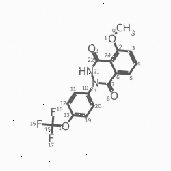 COc1cccc2c(=O)n(-c3ccc(OC(F)(F)F)cc3)[nH]c(=O)c12